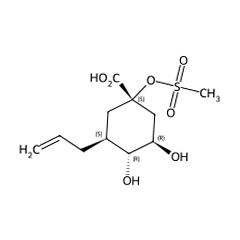 C=CC[C@H]1C[C@@](OS(C)(=O)=O)(C(=O)O)C[C@@H](O)[C@@H]1O